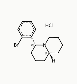 Brc1ccccc1[C@H]1CCC[C@H]2CCCCN21.Cl